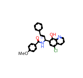 COc1ccc(C(=O)NC(/C=C/c2ccccc2)c2cc(Cl)c3cccnc3c2O)cc1